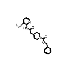 Bc1cccnc1NC(=O)CC1=CCN(C(=O)OCc2ccccc2)CC1